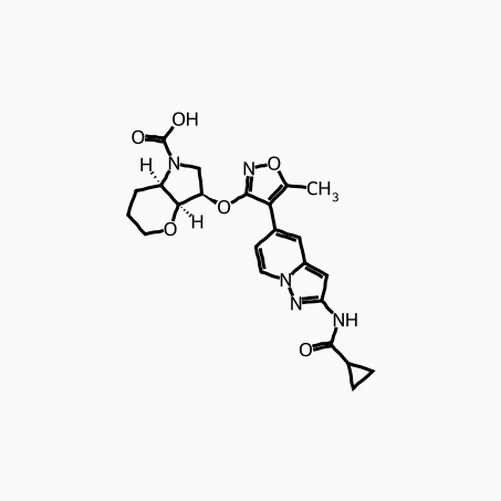 Cc1onc(O[C@@H]2CN(C(=O)O)[C@@H]3CCCO[C@@H]32)c1-c1ccn2nc(NC(=O)C3CC3)cc2c1